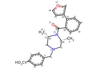 C[C@@H]1CN(Cc2ccc(C(=O)O)cc2)C[C@H](C)N1C(=O)c1ccccc1-c1ccoc1